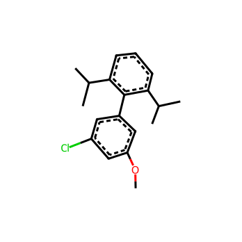 COc1cc(Cl)cc(-c2c(C(C)C)cccc2C(C)C)c1